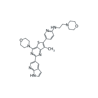 Cc1c(-c2ccc(NCCN3CCOCC3)nc2)sc2c(N3CCOCC3)nc(-c3cnc4[nH]ccc4c3)nc12